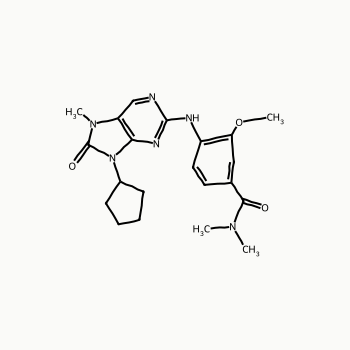 COc1cc(C(=O)N(C)C)ccc1Nc1ncc2c(n1)n(C1CCCC1)c(=O)n2C